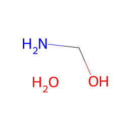 NCO.O